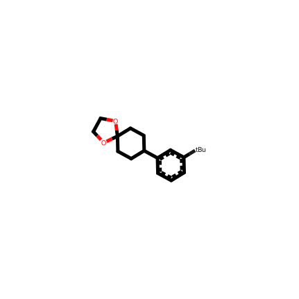 CC(C)(C)c1cccc([C]2CCC3(CC2)OCCO3)c1